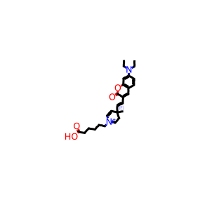 CCN(CC)c1ccc2cc(/C=C/C3(C)C=C[N+](CCCCCC(=O)O)=CC3)c(=O)oc2c1